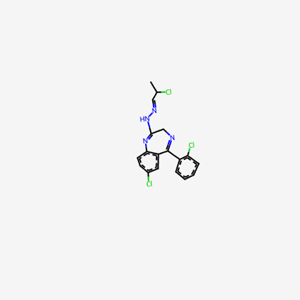 CC(Cl)C=NNC1=Nc2ccc(Cl)cc2C(c2ccccc2Cl)=NC1